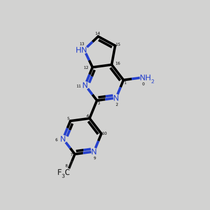 Nc1nc(-c2cnc(C(F)(F)F)nc2)nc2[nH]ccc12